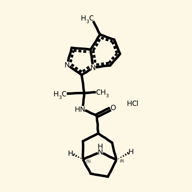 Cc1cccn2c(C(C)(C)NC(=O)C3C[C@H]4CC[C@@H](C3)N4)ncc12.Cl